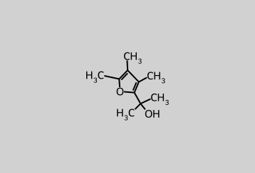 Cc1oc(C(C)(C)O)c(C)c1C